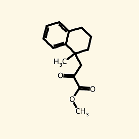 COC(=O)C(=O)CC1(C)CCCc2ccccc21